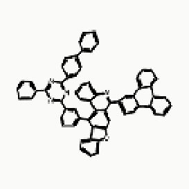 c1ccc(-c2ccc(-c3nc(-c4ccccc4)nc(-c4cccc(-c5c6c(cc7c(-c8ccc9c%10ccccc%10c%10ccccc%10c9c8)nc8ccccc8c57)oc5ccccc56)c4)n3)cc2)cc1